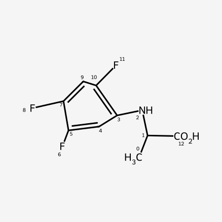 CC(Nc1cc(F)c(F)cc1F)C(=O)O